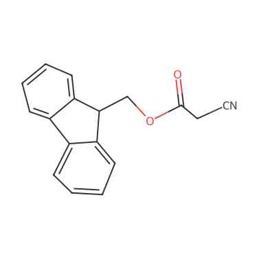 N#CCC(=O)OCC1c2ccccc2-c2ccccc21